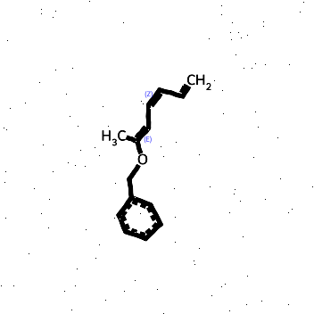 C=C/C=C\C=C(/C)OCc1ccccc1